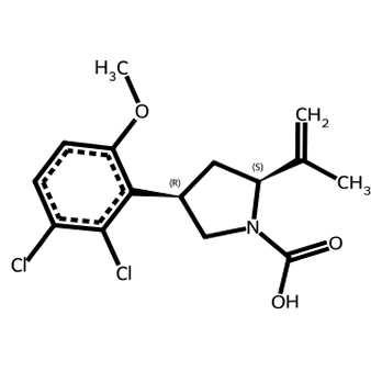 C=C(C)[C@@H]1C[C@H](c2c(OC)ccc(Cl)c2Cl)CN1C(=O)O